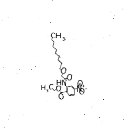 CCCCCCCCCCOCC(=O)Nc1cc([N+](=O)[O-])ccc1C(=O)OCC